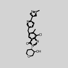 Cc1c(Cc2ccc(-c3cnn(C)c3)nc2)cc2c(=O)n([C@H]3CCOC[C@@H]3O)cnc2c1Cl